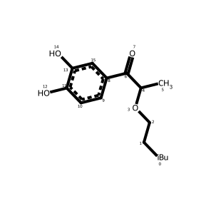 CCC(C)CCOC(C)C(=O)c1ccc(O)c(O)c1